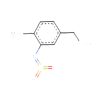 COc1ccc(CC(=O)O)cc1N=S(=O)=O